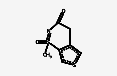 CS1(=O)=NC(=O)Cc2cscc21